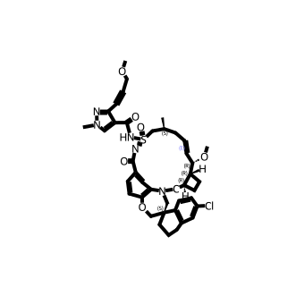 COCC#Cc1nn(C)cc1C(=O)NS1(=O)=NC(=O)c2ccc3c(c2)N(C[C@@H]2CC[C@H]2[C@@H](OC)/C=C/C[C@H](C)C1)C[C@@]1(CCCc2cc(Cl)ccc21)CO3